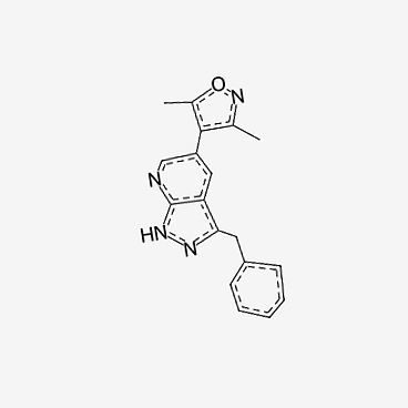 Cc1noc(C)c1-c1cnc2[nH]nc(Cc3ccccc3)c2c1